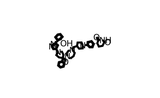 O=C1CC[C@H](c2ccc(N3CCC(CN4CCCN(C(=O)C5(c6ccccc6)CCN(c6cnnc(-c7ccccc7O)c6)CC5)CC4)CC3)cc2)C(=O)N1